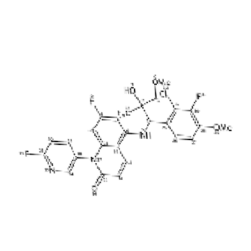 COCC(O)(C(Nc1cc(F)cc2c1ccc(=O)n2-c1ccc(F)nc1)c1ccc(OC)c(F)c1Cl)C(F)(F)F